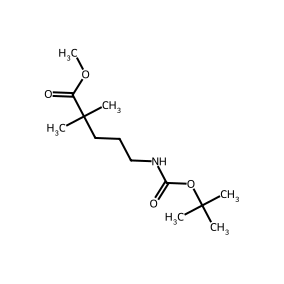 COC(=O)C(C)(C)CCCNC(=O)OC(C)(C)C